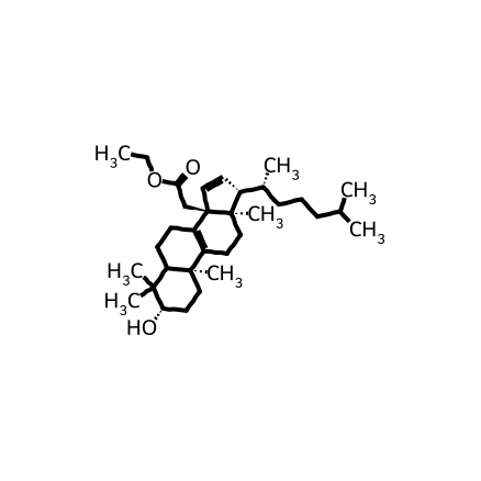 CCOC(=O)C[C@@]12C=C[C@H]([C@H](C)CCCC(C)C)[C@@]1(C)CCC1=C2CCC2C(C)(C)[C@@H](O)CC[C@]12C